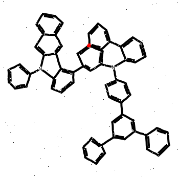 c1ccc(-c2cc(-c3ccccc3)cc(-c3ccc(N(c4cccc(-c5cccc6c5c5cc7ccccc7cc5n6-c5ccccc5)c4)c4ccccc4-c4ccccc4)cc3)c2)cc1